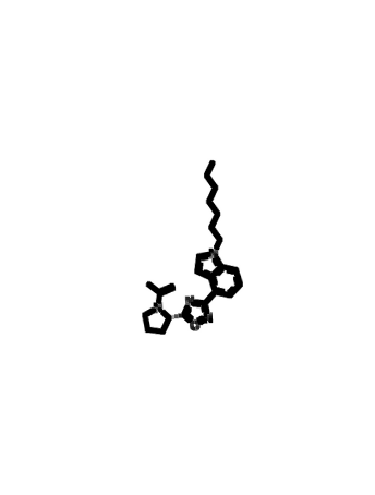 C=C(C)N1CCC[C@H]1c1nc(-c2cccc3c2ccn3CCCCCCC)no1